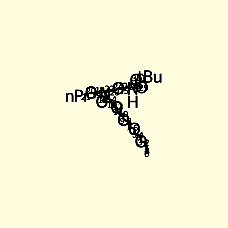 C#CCOCCOCCOCCOCCC(=O)N(CCOCCC)CCOCCNC(=O)OC(C)(C)C